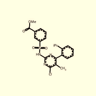 COC(=O)c1cccc(S(=O)(=O)Nc2nc(Cl)c(C)c(-c3ccccc3C(C)C)n2)c1